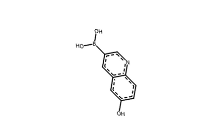 OB(O)c1cnc2ccc(O)cc2c1